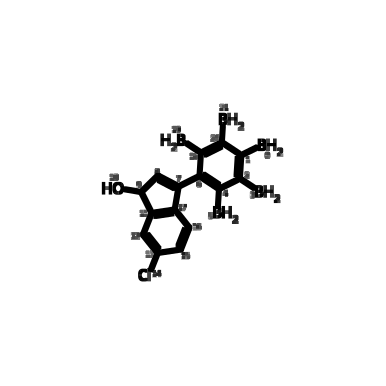 Bc1c(B)c(B)c(C2=CC(O)c3cc(Cl)ccc32)c(B)c1B